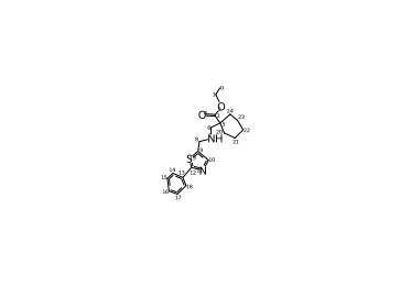 CCOC(=O)C1(CNCc2cnc(-c3ccccc3)s2)CCCCC1